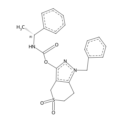 C[C@@H](NC(=O)Oc1nn(Cc2ccccc2)c2c1CS(=O)(=O)CC2)c1ccccc1